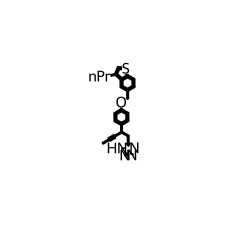 CC#CC(Cc1nnn[nH]1)c1ccc(OCc2ccc3scc(CCC)c3c2)cc1